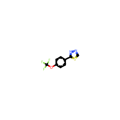 FC(F)(F)Oc1ccc(-c2nncs2)cc1